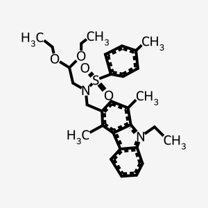 CCOC(CN(Cc1cc(C)c2c(c1C)c1ccccc1n2CC)S(=O)(=O)c1ccc(C)cc1)OCC